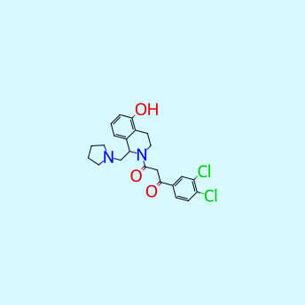 O=C(CC(=O)N1CCc2c(O)cccc2C1CN1CCCC1)c1ccc(Cl)c(Cl)c1